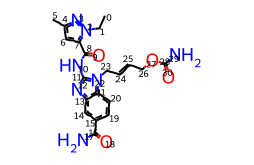 CCn1nc(C)cc1C(=O)Nc1nc2cc(C(N)=O)ccc2n1CC=CCOC(N)=O